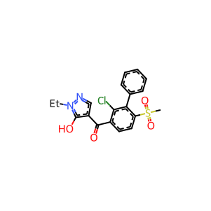 CCn1ncc(C(=O)c2ccc(S(C)(=O)=O)c(-c3ccccc3)c2Cl)c1O